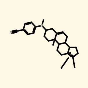 CC1C2CCC3C4CC=C5CC(N(C)c6ccc(C#N)cc6)CCC5(C)C4CCC32CN1C